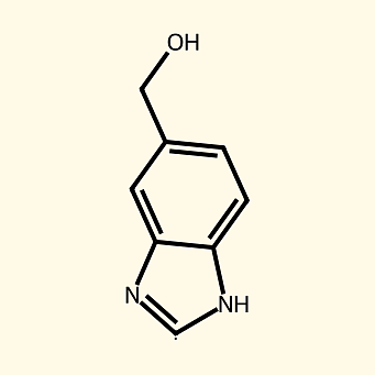 OCc1ccc2[nH][c]nc2c1